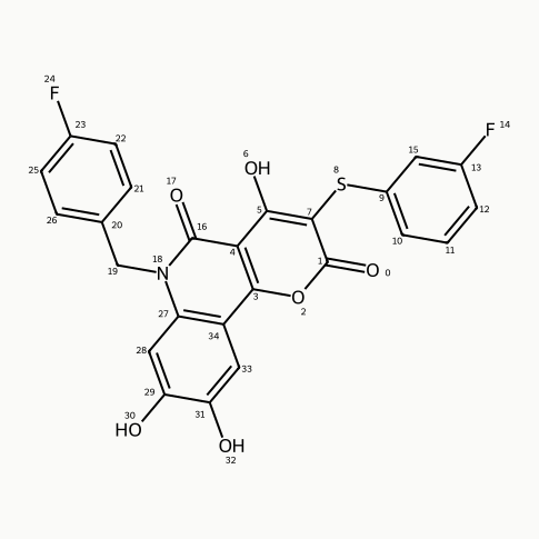 O=c1oc2c(c(O)c1Sc1cccc(F)c1)c(=O)n(Cc1ccc(F)cc1)c1cc(O)c(O)cc21